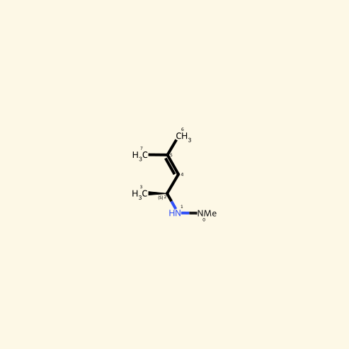 CNN[C@@H](C)C=C(C)C